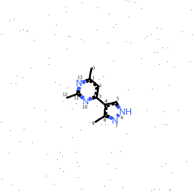 Cc1cc(-c2c[nH]nc2C)nc(C)n1